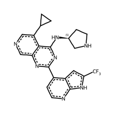 FC(F)(F)c1cc2c(-c3nc(N[C@H]4CCNC4)c4c(C5CC5)cncc4n3)ccnc2[nH]1